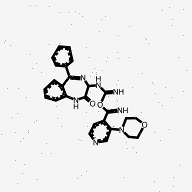 N=C(NC1N=C(c2ccccc2)c2ccccc2NC1=O)OC(=N)c1ccncc1N1CCOCC1